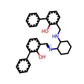 Oc1c(/C=N/C2CCCCC2NCc2cccc(-c3ccccc3)c2O)cccc1-c1ccccc1